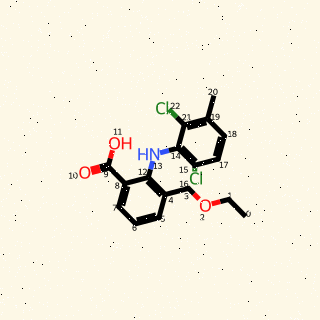 CCOCc1cccc(C(=O)O)c1Nc1c(Cl)ccc(C)c1Cl